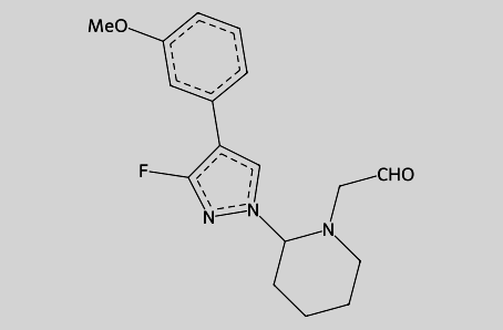 COc1cccc(-c2cn(C3CCCCN3CC=O)nc2F)c1